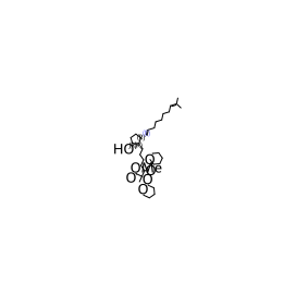 COC(=O)C(C)(OC1CCCCO1)C(CCCC[C@H]1[C@H](O)CC[C@@H]1/C=C/CCCCCC=C(C)C)OC1CCCCO1